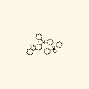 CO[Si](c1ccccc1)(c1ccccc1)c1cccc(-n2c3ccccc3c3c4oc5ccccc5c4ccc32)c1